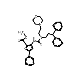 COC(=O)c1sc(-c2ccccc2)cc1NC(=O)N(CCC(c1ccccc1)c1ccccc1)CCN1CCOCC1